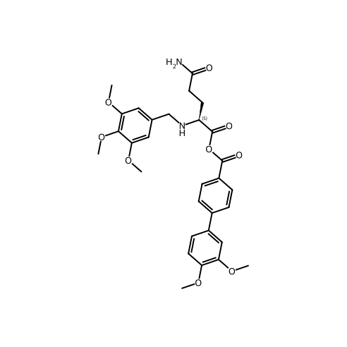 COc1ccc(-c2ccc(C(=O)OC(=O)[C@H](CCC(N)=O)NCc3cc(OC)c(OC)c(OC)c3)cc2)cc1OC